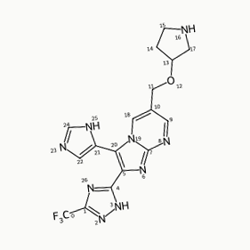 FC(F)(F)c1n[nH]c(-c2nc3ncc(COC4CCNC4)cn3c2-c2cnc[nH]2)n1